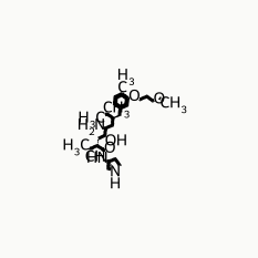 COCCCOc1cc(C[C@@H](C[C@H](N)[C@@H](O)C[C@H](C(=O)N[C@@H]2CCNC2)C(C)C)C(C)C)ccc1C